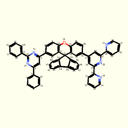 c1ccc(-c2cc(-c3ccc4c(c3)C3(c5cc(-c6cc(-c7ccccn7)nc(-c7ccccn7)c6)ccc5O4)c4ccccc4-c4ccccc43)nc(-c3ccccc3)n2)cc1